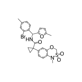 Cc1ccc(C(NC(=O)C2(c3ccc4c(c3)OCS(=O)(=O)N4C)CC2)c2ccc(C)o2)c(Br)c1